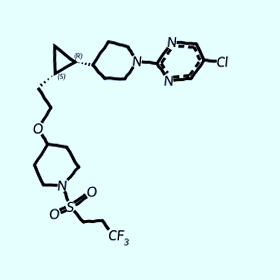 O=S(=O)(CCC(F)(F)F)N1CCC(OCC[C@@H]2C[C@@H]2C2CCN(c3ncc(Cl)cn3)CC2)CC1